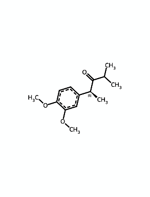 COc1ccc([C@H](C)C(=O)C(C)C)cc1OC